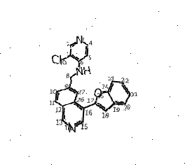 Clc1cnccc1NCc1ccc2cncc(-c3cc4ccccc4o3)c2c1